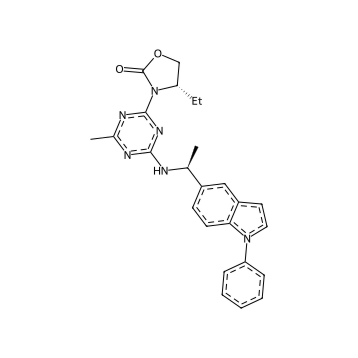 CC[C@H]1COC(=O)N1c1nc(C)nc(N[C@@H](C)c2ccc3c(ccn3-c3ccccc3)c2)n1